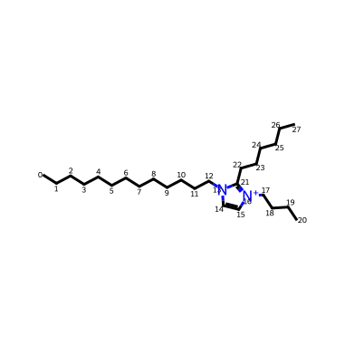 CCCCCCCCCCCCCn1cc[n+](CCCC)c1CCCCCC